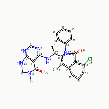 C[C@H](Nc1ncnc2c1C(=O)N(C)CN2)c1c(Cl)c2cccc(Cl)c2c(=O)n1-c1ccccc1